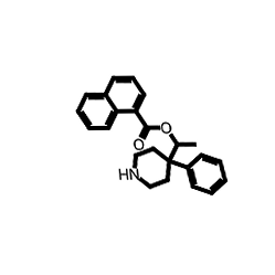 CC(OC(=O)c1cccc2ccccc12)C1(c2ccccc2)CCNCC1